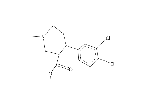 COC(=O)C1CN(C)CCC1c1ccc(Cl)c(Cl)c1